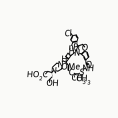 CCCc1cc(Cl)ccc1[C@@H]1COc2ccc3cc2N(C1)C[C@@H]1CC[C@H]1[C@@](CN1CCN([C@H](CCO)CC(=O)O)CC1)(OC)/C=C/C[C@H](C)[C@@H](C)SNC3=O